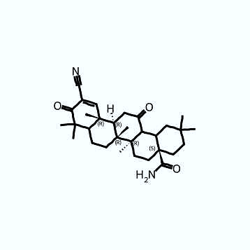 CC1(C)CC[C@]2(C(N)=O)CC[C@]3(C)C(C(=O)C[C@@H]4[C@@]5(C)C=C(C#N)C(=O)C(C)(C)C5CC[C@]43C)C2C1